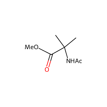 [CH2]C(=O)NC(C)(C)C(=O)OC